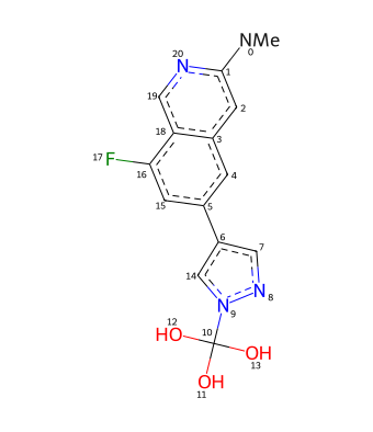 CNc1cc2cc(-c3cnn(C(O)(O)O)c3)cc(F)c2cn1